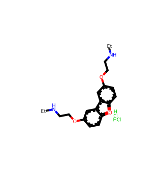 CCNCCOc1ccc2oc3ccc(OCCNCC)cc3c2c1.Cl.Cl